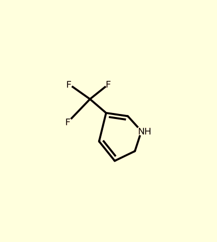 FC(F)(F)C1=CNCC=C1